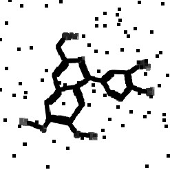 CCOc1cc2cc(COC(C)=O)nc(-c3ccc(Cl)c([N+](=O)[O-])c3)c2cc1OCC